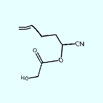 C=CCCC(C#N)OC(=O)CO